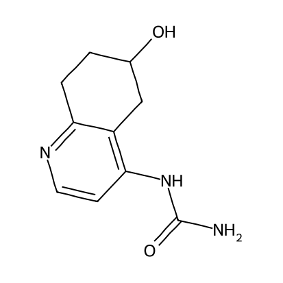 NC(=O)Nc1ccnc2c1CC(O)CC2